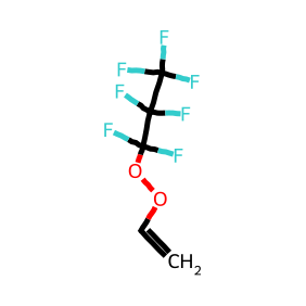 C=COOC(F)(F)C(F)(F)C(F)(F)F